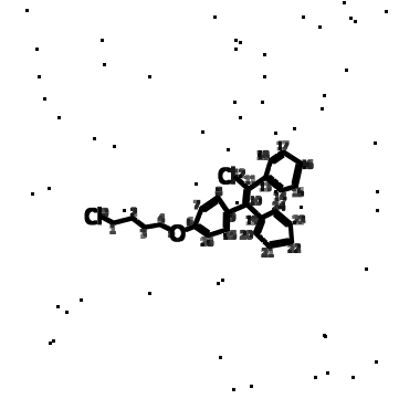 ClCCCCOc1ccc(C(=C(Cl)c2ccccc2)c2ccccc2)cc1